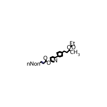 CCCCCCCCC/C=C/C(=O)Oc1ccc(-c2ccc(CCC(C)OC(=O)CC)cc2)nc1